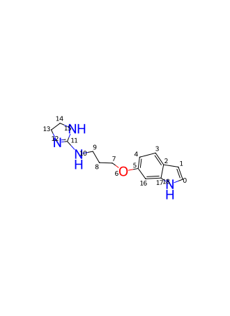 c1cc2ccc(OCCCNC3=NCCN3)cc2[nH]1